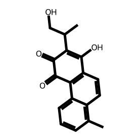 Cc1cccc2c3c(ccc12)C(O)=C(C(C)CO)C(=O)C3=O